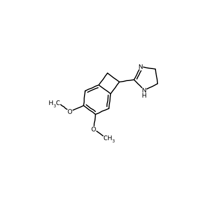 COc1cc2c(cc1OC)C(C1=NCCN1)C2